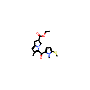 CCOC(=O)C1Cc2cc(C)c(C(=O)c3ccc(SC)n3C)n2C1